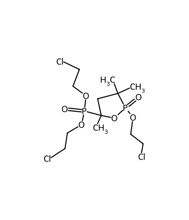 CC1(C)CC(C)(P(=O)(OCCCl)OCCCl)OP1(=O)OCCCl